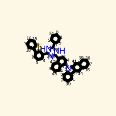 c1ccc(C2NC(c3cccc4c3sc3ccccc34)=NC(c3ccc(-n4c5ccccc5c5cc6ccccc6cc54)c4ccccc34)N2)cc1